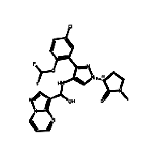 CN1CC[C@@H](n2cc(NC(O)c3cnn4cccnc34)c(-c3cc(Cl)ccc3OC(F)F)n2)C1=O